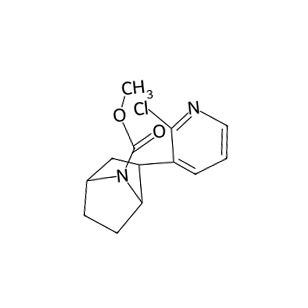 COC(=O)N1C2CCC1C(c1cccnc1Cl)C2